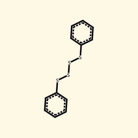 c1ccc(SSSSc2ccccc2)cc1